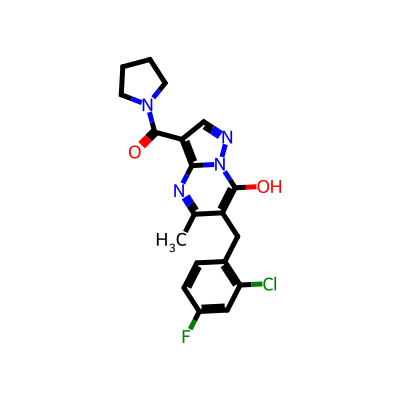 Cc1nc2c(C(=O)N3CCCC3)cnn2c(O)c1Cc1ccc(F)cc1Cl